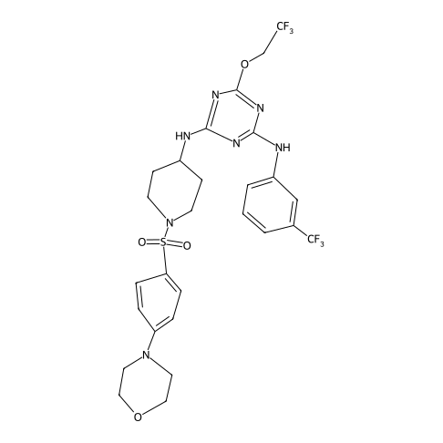 O=S(=O)(c1ccc(N2CCOCC2)cc1)N1CCC(Nc2nc(Nc3cccc(C(F)(F)F)c3)nc(OCC(F)(F)F)n2)CC1